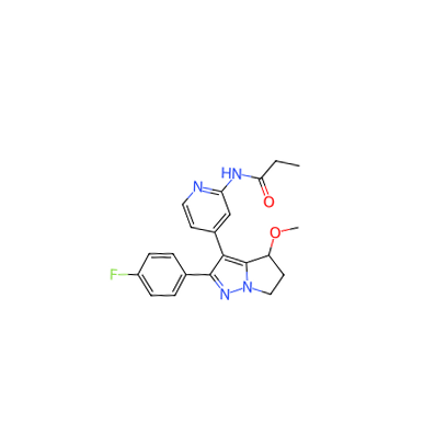 CCC(=O)Nc1cc(-c2c(-c3ccc(F)cc3)nn3c2C(OC)CC3)ccn1